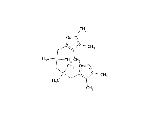 Cc1coc(CC(C)(C)CC(C)(C)Cc2oc(C)c(C)c2C)c1C